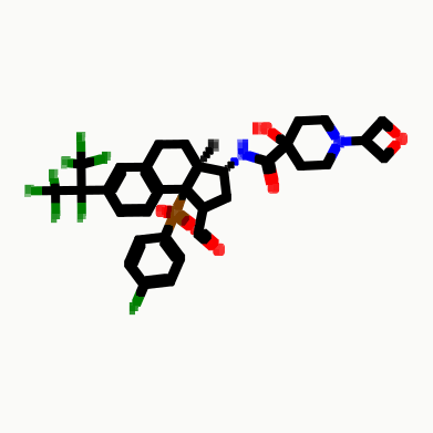 O=CC1C[C@@H](NC(=O)C2(O)CCN(C3COC3)CC2)[C@@H]2CCc3cc(C(F)(C(F)(F)F)C(F)(F)F)ccc3[C@@]12S(=O)(=O)c1ccc(F)cc1